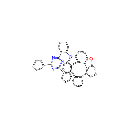 c1ccc(-c2nc(-c3ccccc3)nc(-c3ccccc3-n3c4cccc5c6ccccc6c6cccc7oc8ccc3c(c8c76)c54)n2)cc1